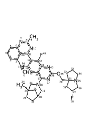 C#Cc1cccc2nc(C)nc(-c3c(F)cc4c(N5CC6CC[C@@](C)(C6)C5)nc(OC[C@@]56CCCN5C[C@H](F)C6)nc4c3F)c12